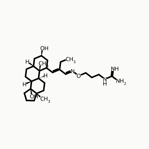 CCC(/C=N/OCCCNC(=N)N)=C\C1C[C@H](O)C[C@H]2CC[C@@H]3[C@H](CC[C@]4(C)CCC[C@]34O)[C@@]12C